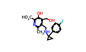 Cc1nc(C(=O)O)c(O)c(CO)c1CNC1(c2ccc(F)cc2)CC1